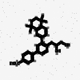 CCOC(=O)c1ccc(-c2ccc(CC(O)CO)c(-c3ccc4c(c3)C(C)(C)CCC4(C)C)c2)cc1